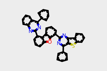 c1ccc(-c2nc(-c3cccc4oc5c(-c6nc(-c7ccccc7)c7sc8ccccc8c7n6)cccc5c34)nc3ccccc23)cc1